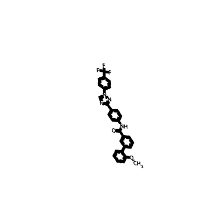 COc1ccccc1-c1cccc(C(=O)Nc2ccc(-c3ncn(-c4ccc(C(F)(F)F)cc4)n3)cc2)c1